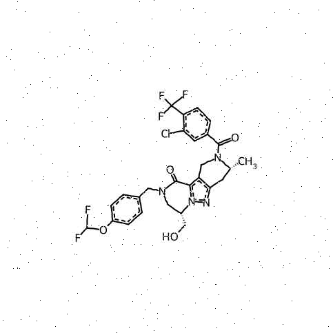 C[C@@H]1Cc2nn3c(c2CN1C(=O)c1ccc(C(F)(F)F)c(Cl)c1)C(=O)N(Cc1ccc(OC(F)F)cc1)C[C@H]3CO